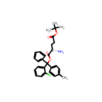 Cc1ccc(C(OC(=O)[C@@H](N)CCC(=O)OC(C)(C)C)(c2ccccc2)c2ccccc2Cl)cc1